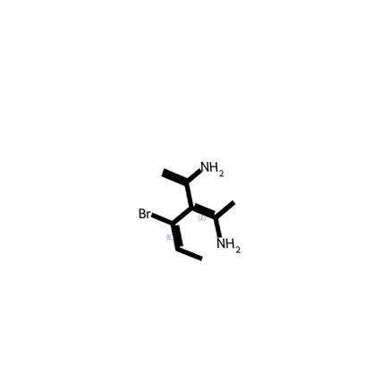 C=C(N)C(=C(\C)N)/C(Br)=C\C